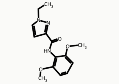 CCn1ccc(C(=O)Nc2c(OC)cccc2OC)n1